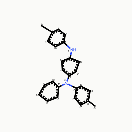 Cc1ccc(Nc2ccc(N(c3ccccc3)c3ccc(C)cc3)cc2)cc1